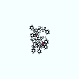 CC(=O)OC1C(O)OC(COC2OC(COC(=O)c3ccccc3)C(O)C(OC(=O)c3ccccc3)C2OC(=O)c2ccccc2)C(OC(C)=O)C1OC1OC(COC(=O)c2ccccc2)C(OC(=O)c2ccccc2)C(OC(=O)c2ccccc2)C1OC(=O)c1ccccc1